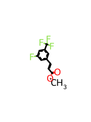 COC(=O)C=Cc1cc(F)cc(C(F)(F)F)c1